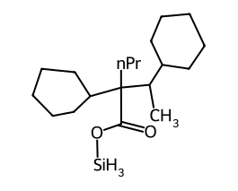 CCCC(C(=O)O[SiH3])(C1CCCCC1)C(C)C1CCCCC1